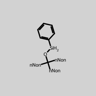 CCCCCCCCCC(CCCCCCCCC)(CCCCCCCCC)O[SiH2]c1ccccc1